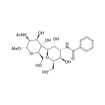 CO[C@H]1O[C@H](CO)[C@](O)([C@@H]2O[C@H](CO)[C@H](O)[C@@H](NC(=O)c3ccccc3)[C@H]2O)[C@H](O)[C@@H]1NC(C)=O